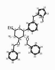 CC[C@H]1S[C@@H](c2cccc(Cc3cccn3C)c2)[C@H](OCc2ccccc2)[C@@H](OCc2ccccc2)[C@@H]1C